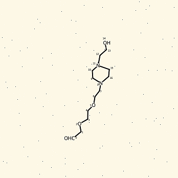 O=CCOCCOCCN1CCN(CCO)CC1